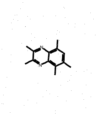 Cc1cc(C)c2nc(C)c(C)nc2c1C